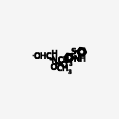 CC(C)(Oc1ccc2c(c1)Nc1ccccc1S2)C(=O)NC[C]=O